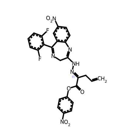 C=CC/C(=N\NC1=Nc2ccc([N+](=O)[O-])cc2C(c2c(F)cccc2F)=NC1)C(=O)Oc1ccc([N+](=O)[O-])cc1